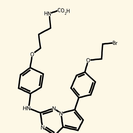 O=C(O)NCCCOc1ccc(Nc2ncc3ccc(-c4ccc(OCCBr)cc4)n3n2)cc1